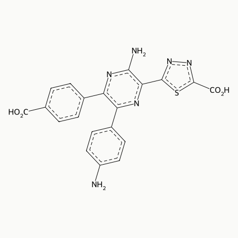 Nc1ccc(-c2nc(-c3nnc(C(=O)O)s3)c(N)nc2-c2ccc(C(=O)O)cc2)cc1